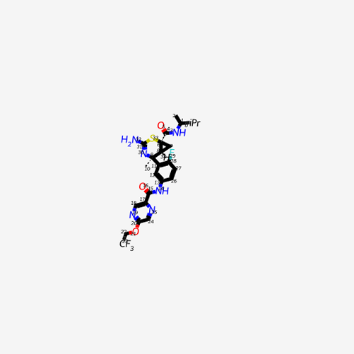 CC(C)C(C)NC(=O)[C@]12C[C@H]1[C@@](C)(c1cc(NC(=O)c3cnc(OCC(F)(F)F)cn3)ccc1F)N=C(N)S2